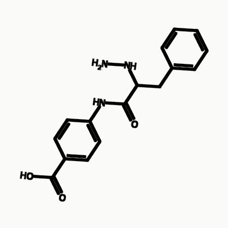 NNC(Cc1ccccc1)C(=O)Nc1ccc(C(=O)O)cc1